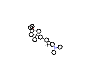 CC1(C)c2cc(-c3ccc(C4(c5ccccc5)c5ccccc5C5(c6ccccc6)c6ccccc6-c6cccc4c65)cc3)ccc2-c2ccc(N(c3ccccc3)c3ccccc3)cc21